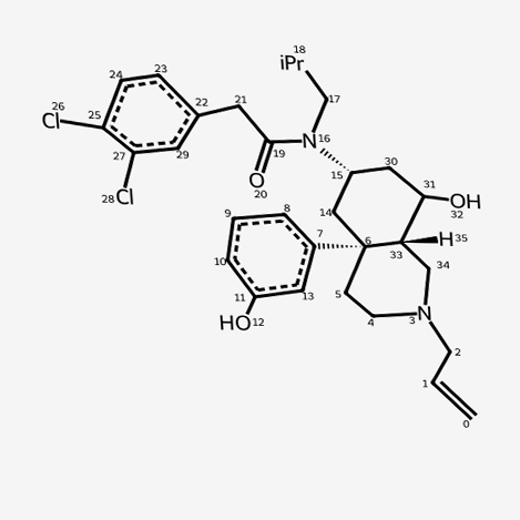 C=CCN1CC[C@@]2(c3cccc(O)c3)C[C@H](N(CC(C)C)C(=O)Cc3ccc(Cl)c(Cl)c3)CC(O)[C@@H]2C1